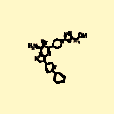 C[C@@H](O)c1nnc(N2CCC(c3nc4c(-c5ccc(-c6ccccc6)nc5)cnn4c(N)c3Br)CC2)o1